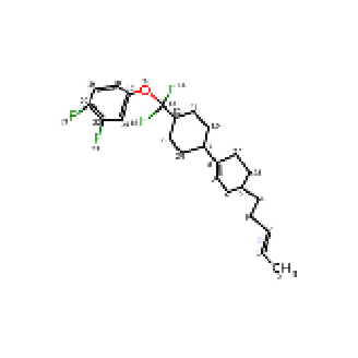 C/C=C/CCC1CC=C(C2CCC(C(F)(F)Oc3ccc(F)c(F)c3)CC2)CC1